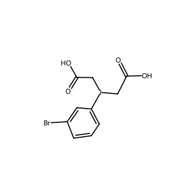 O=C(O)CI(CC(=O)O)c1cccc(Br)c1